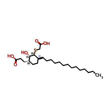 CCCCCCCCCCCCC/C=C1\CC[C@H](CCC(=O)O)[C@H](O)[C@H]1SCC(=O)O